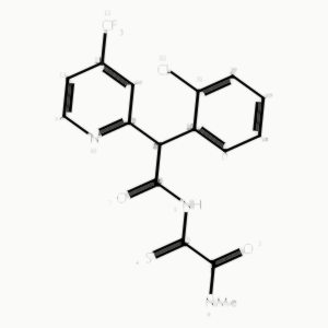 CNC(=O)C(=S)NC(=O)C(c1cc(C(F)(F)F)ccn1)c1ccccc1Cl